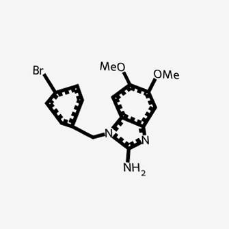 COc1cc2nc(N)n(Cc3ccc(Br)cc3)c2cc1OC